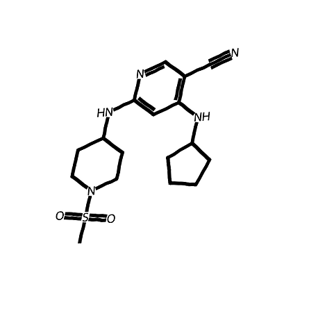 CS(=O)(=O)N1CCC(Nc2cc(NC3CCCC3)c(C#N)cn2)CC1